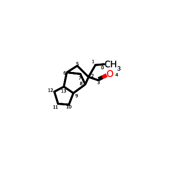 CCC1(C=O)CC2CC1C1CCCC21